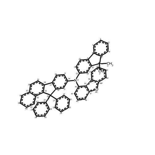 CC1(C)c2ccccc2-c2ccc(N(c3ccc4c(c3)C(c3ccccc3)(c3ccccc3)c3c-4ccc4ccccc34)c3cccc4oc5ccccc5c34)cc21